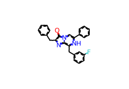 O=c1c(Cc2ccccc2)nc2c(Cc3cccc(F)c3)[nH]c(-c3ccccc3)cn1-2